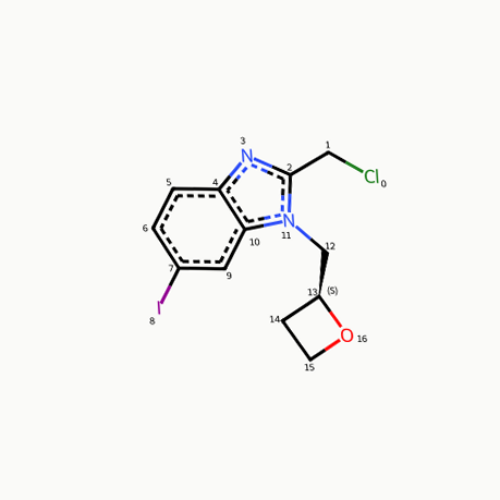 ClCc1nc2ccc(I)cc2n1C[C@@H]1CCO1